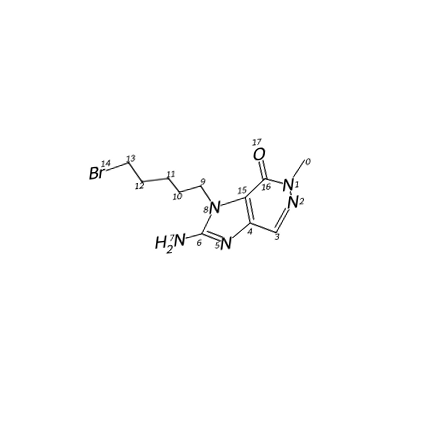 Cn1ncc2nc(N)n(CCCCCBr)c2c1=O